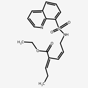 CC/C=C(\C=C/CNS(=O)(=O)c1cccc2cccnc12)C(=O)OCC